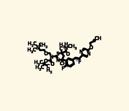 C#CCOc1cnc(/C(F)=C/c2ccc(F)c([C@]3(C)CC(C)(C(=O)NC)SC(N(COCC[Si](C)(C)C)C(=O)OC(C)(C)C)=N3)c2)cn1